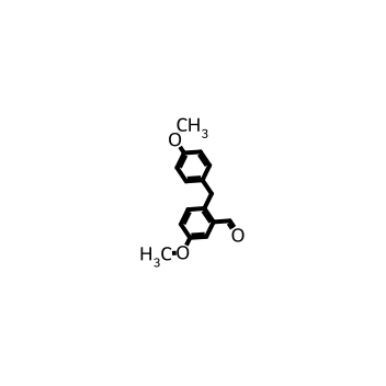 COc1ccc(Cc2ccc(OC)cc2C=O)cc1